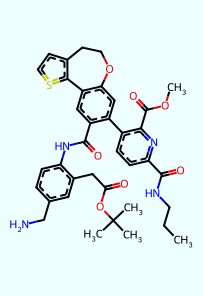 CCCNC(=O)c1ccc(-c2cc3c(cc2C(=O)Nc2ccc(CN)cc2CC(=O)OC(C)(C)C)-c2sccc2CCO3)c(C(=O)OC)n1